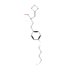 CC(C)CCCCOc1ccc(CC[C@@](N)(CO)CC2CCC2)cc1